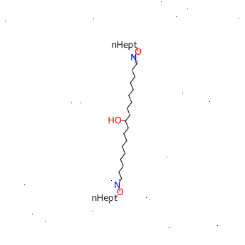 CCCCCCCON=CCCCCCCCCC(O)CCCCCCCCC=NOCCCCCCC